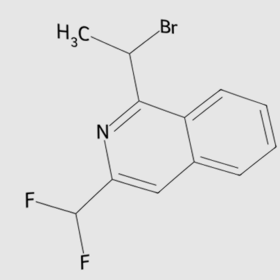 CC(Br)c1nc(C(F)F)cc2ccccc12